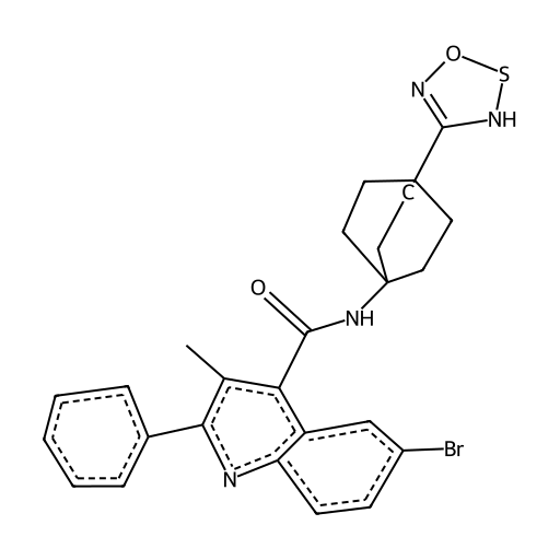 Cc1c(-c2ccccc2)nc2ccc(Br)cc2c1C(=O)NC12CCC(C3=NOSN3)(CC1)CC2